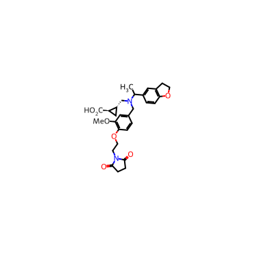 COc1cc(CN(C[C@@H]2C[C@H]2C(=O)O)C(C)c2ccc3c(c2)CCO3)ccc1OCCN1C(=O)CCC1=O